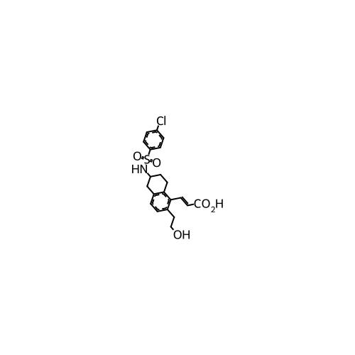 O=C(O)C=Cc1c(CCO)ccc2c1CCC(NS(=O)(=O)c1ccc(Cl)cc1)C2